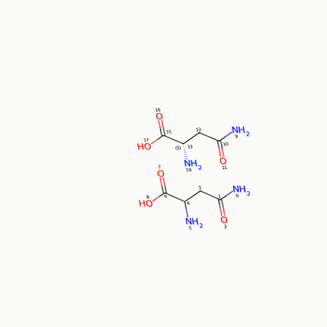 NC(=O)CC(N)C(=O)O.NC(=O)C[C@H](N)C(=O)O